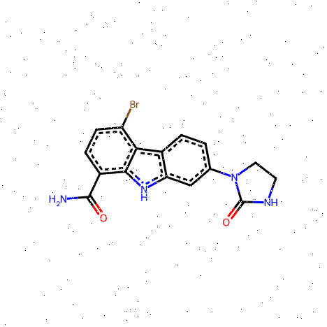 NC(=O)c1ccc(Br)c2c1[nH]c1cc(N3CCNC3=O)ccc12